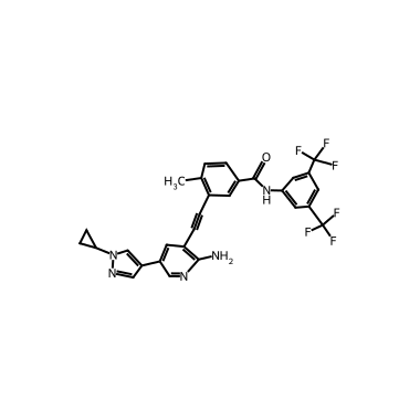 Cc1ccc(C(=O)Nc2cc(C(F)(F)F)cc(C(F)(F)F)c2)cc1C#Cc1cc(-c2cnn(C3CC3)c2)cnc1N